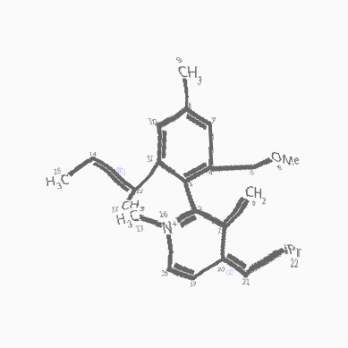 C=c1c(-c2c(COC)cc(C)cc2/C(C)=C/C)[n+](C)cc/c1=C/C(C)C